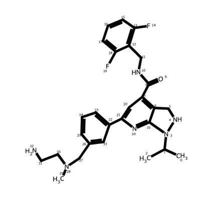 CC(C)N1NCc2c(C(=O)NCc3c(F)cccc3F)cc(-c3cccc(CN(C)CCN)c3)nc21